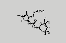 COCCn1c(C)c(C)sc1=NC(=O)NC1CC(C)(C)CC(C)(C)C1